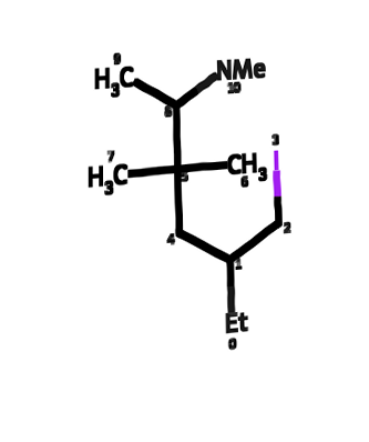 CCC(CI)CC(C)(C)C(C)NC